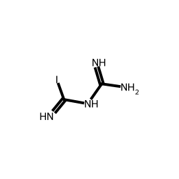 N=C(N)NC(=N)I